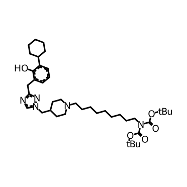 CC(C)(C)OC(=O)N(CCCCCCCCCN1CCC(Cn2cnc(Cc3cccc(C4CCCCC4)c3O)n2)CC1)C(=O)OC(C)(C)C